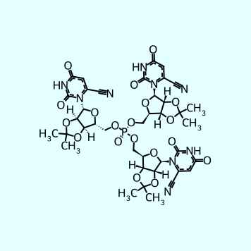 CC1(C)O[C@@H]2[C@H](O1)[C@@H](COP(=O)(OC[C@H]1O[C@@H](n3c(C#N)cc(=O)[nH]c3=O)[C@@H]3OC(C)(C)O[C@@H]31)OC[C@H]1O[C@@H](n3c(C#N)cc(=O)[nH]c3=O)[C@@H]3OC(C)(C)O[C@@H]31)O[C@H]2n1c(C#N)cc(=O)[nH]c1=O